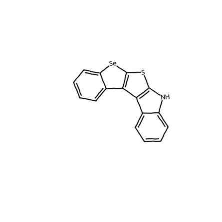 c1ccc2c(c1)[nH]c1sc3[se]c4ccccc4c3c12